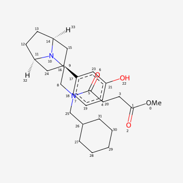 COC(=O)CCC(=O)N(CCN1[C@@H]2CC[C@H]1C[C@@H](c1cccc(O)c1)C2)CC1CCCCC1